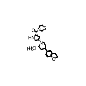 Cl.Cl.O=C([C@@H]1C[C@H](N2CCC(c3ccc4c(c3)CCO4)CC2)CN1)N1CCSC1